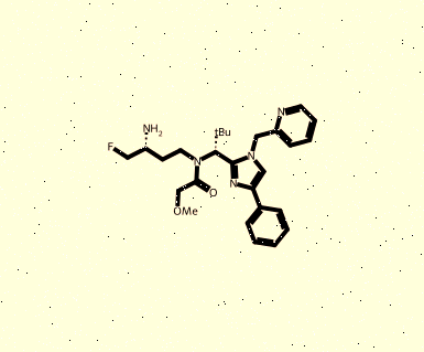 COCC(=O)N(CC[C@@H](N)CF)[C@@H](c1nc(-c2ccccc2)cn1Cc1ccccn1)C(C)(C)C